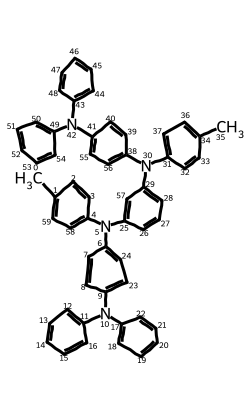 Cc1ccc(N(c2ccc(N(c3ccccc3)c3ccccc3)cc2)c2cccc(N(c3ccc(C)cc3)c3ccc(N(c4ccccc4)c4ccccc4)cc3)c2)cc1